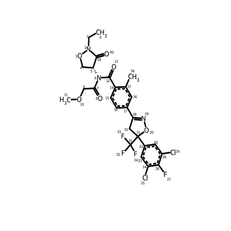 CCN1OC[C@@H](N(C(=O)COC)C(=O)c2ccc(C3=NOC(c4cc(Cl)c(F)c(Cl)c4)(C(F)(F)F)C3)cc2C)C1=O